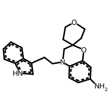 Nc1ccc2c(c1)OC1(CCOCC1)CN2CCc1c[nH]c2ccccc12